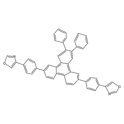 c1ccc(-c2cc3c4cc(-c5ccc(-c6cocn6)cc5)ccc4c4ccc(-c5ccc(-c6cocn6)cc5)cc4c3cc2-c2ccccc2)cc1